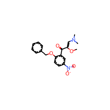 CO/C(=C\N(C)C)C(=O)c1cc([N+](=O)[O-])ccc1OCc1ccccc1